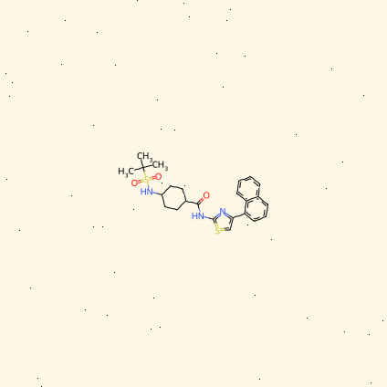 CC(C)(C)S(=O)(=O)NC1CCC(C(=O)Nc2nc(-c3cccc4ccccc34)cs2)CC1